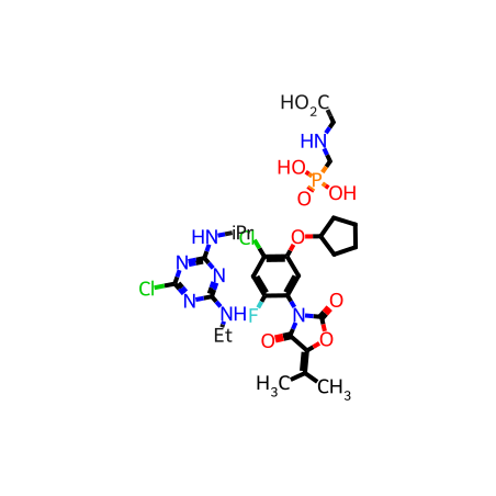 CC(C)=C1OC(=O)N(c2cc(OC3CCCC3)c(Cl)cc2F)C1=O.CCNc1nc(Cl)nc(NC(C)C)n1.O=C(O)CNCP(=O)(O)O